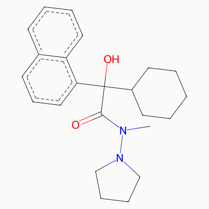 CN(C(=O)C(O)(c1cccc2ccccc12)C1CCCCC1)N1CCCC1